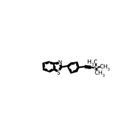 C[Si](C)(C)C#Cc1ccc(-c2nc3ccccc3s2)cc1